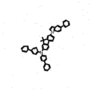 CC1(C)c2cc(N(c3ccc(-c4ccccc4)cc3)c3ccc(-c4ccccc4)cc3)ccc2-c2ccc(-n3ccc4cc(-c5ccccc5)ccc43)cc21